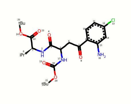 CC(C)[C@H](NC(=O)C(CC(=O)c1ccc(Cl)cc1N)NC(=O)OC(C)(C)C)C(=O)OC(C)(C)C